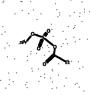 CCCOS(=O)(=O)OC(=O)CC